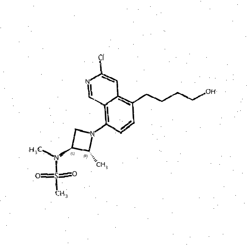 C[C@@H]1[C@@H](N(C)S(C)(=O)=O)CN1c1ccc(CCCCO)c2cc(Cl)ncc12